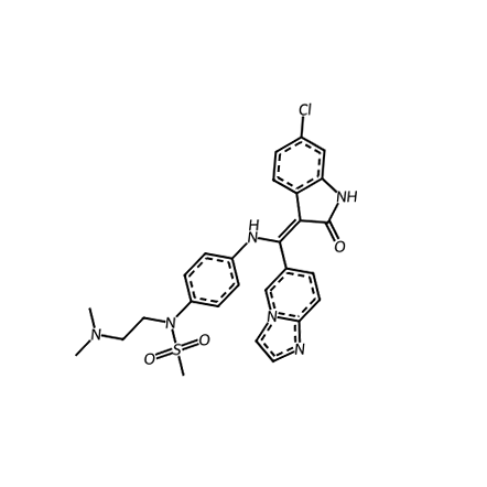 CN(C)CCN(c1ccc(NC(=C2C(=O)Nc3cc(Cl)ccc32)c2ccc3nccn3c2)cc1)S(C)(=O)=O